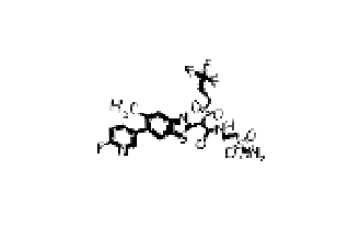 Cc1cc2nc(C(C(=O)NCCS(N)(=O)=O)S(=O)(=O)CCC(F)(F)F)sc2cc1-c1ccc(F)nc1